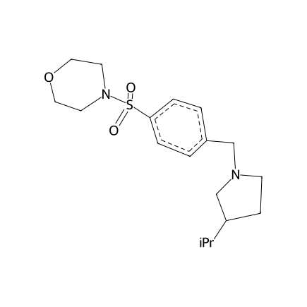 CC(C)C1CCN(Cc2ccc(S(=O)(=O)N3CCOCC3)cc2)C1